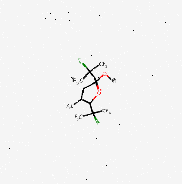 CCCOC1(C(F)(C(F)(F)F)C(F)(F)F)CC(C(F)(F)F)C(C(F)(C(F)(F)F)C(F)(F)F)O1